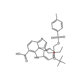 CCC(COS(=O)(=O)c1ccc(C)cc1)(CC1=CN=C2C=CC(C(=O)O)=C3Nc4ccccc4C123)O[Si](C)(C)C